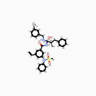 C=Cc1cc(C(=O)N[C@@](O)(NCc2cccc(C(F)(F)F)c2)[C@H](C)Cc2ccccc2)cc(N(c2ccccc2)S(C)(=O)=O)c1